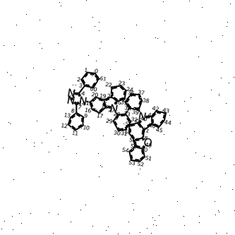 c1ccc(-c2nnc(-c3ccccc3)n2-c2ccc3c(c2)c2ccccc2n3-c2ccccc2-c2ccccc2-n2c3ccccc3c3c4oc5ccccc5c4ccc32)cc1